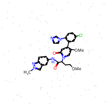 COCCC(C(=O)Nc1ccc2nn(C)cc2c1)n1cc(OC)c(-c2cc(Cl)ccc2-n2ccnc2)cc1=O